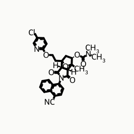 CN(C)C(=O)O[C@H]1CC2(CCOc3ccc(Cl)cn3)OC1(C)[C@@H]1C(=O)N(c3ccc(C#N)c4ccccc34)C(=O)[C@@H]12